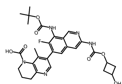 Cc1c(-c2cc3cc(NC(=O)OC4CC(O)C4)ncc3c(NC(=O)OC(C)(C)C)c2F)cnc2c1N(C(=O)O)CCC2